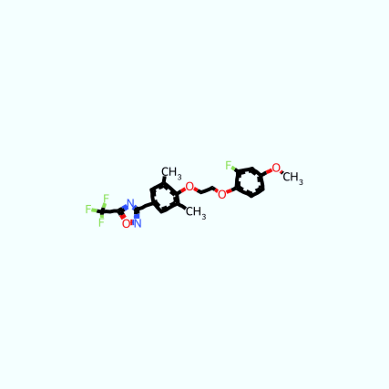 COc1ccc(OCCOc2c(C)cc(-c3noc(C(F)(F)F)n3)cc2C)c(F)c1